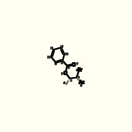 CC(=O)[C@@H](Br)[C@H](C)OC(=O)c1ccccc1